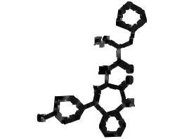 NC(Cc1ccccc1)C(=O)NC1N=C(c2ccc(Cl)cc2)c2ccccc2NC1=O